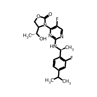 CC(C)c1ccc([C@H](C)Nc2ncc(F)c(N3C(=O)OCC3[C@@H](C)O)n2)c(F)c1